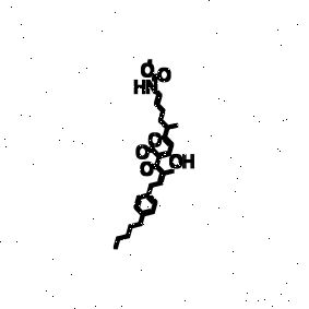 CCCCCc1ccc(C/C=C(/C)C(=O)c2c(O)cc(C(C)CC/C=C/NC(=O)OC)oc2=O)cc1